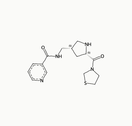 O=C(NC[C@@H]1CN[C@H](C(=O)N2CCSC2)C1)c1cccnc1